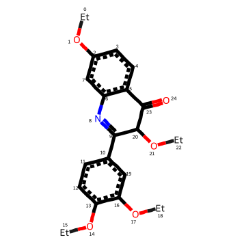 CCOc1ccc2c(c1)N=C(c1ccc(OCC)c(OCC)c1)C(OCC)C2=O